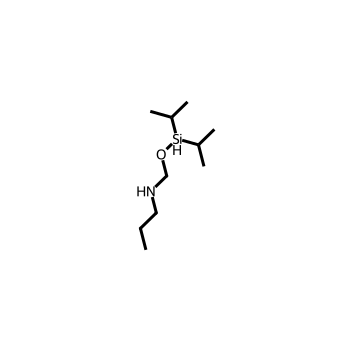 CCCNCO[SiH](C(C)C)C(C)C